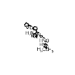 CC1(C)CN[C@H](C(=O)NCC2CC(n3cc(-c4cccc(OCC5CCCCO5)c4)c4c(N)ncnc43)C2)CO1